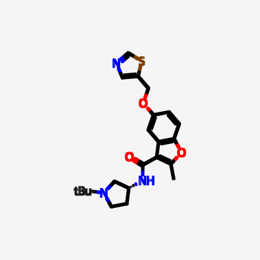 Cc1oc2ccc(OCc3cncs3)cc2c1C(=O)N[C@@H]1CCN(C(C)(C)C)C1